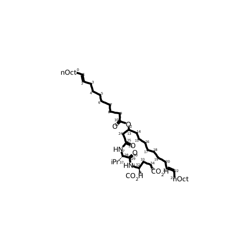 CCCCCCCC/C=C/CCCCCCCC(=O)OC(CCCCCCC/C=C/CCCCCCCC)CC(=O)N[C@H](C(=O)N[C@@H](CCC(=O)O)C(=O)O)C(C)C